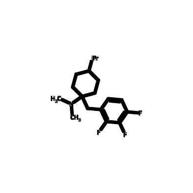 CC(C)C1CCC(Cc2ccc(F)c(F)c2F)(N(C)C)CC1